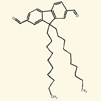 CCCCCCCCCCC1(CCCCCCCCCC)c2cc(C=O)ccc2-c2ccc(C=O)cc21